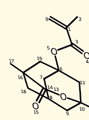 C=C(C)C(=O)OC12CC3CC(C)(C1)OC(=O)C(C)(C3)C2